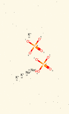 O=P([O-])([O-])O.O=P([O-])([O-])[O-].[K+].[K+].[K+].[Na+].[Na+]